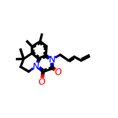 C=CC=CCn1c(=O)c(=O)n2c3c(c(C)c(C)cc31)C(C)(C)CC2